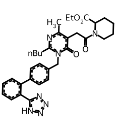 CCCCc1nc(C)c(CC(=O)N2CCCCC2C(=O)OCC)c(=O)n1Cc1ccc(-c2ccccc2-c2nnn[nH]2)cc1